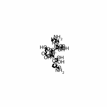 NC(=O)c1ccc[n+]([C@@H]2O[C@H](COP(=O)([O-])OP(=O)(O)OC[C@H]3O[C@@H](n4cnc5c(N)ncnc54)[C@H](OP(=O)(O)O)[C@@H]3O)[C@@H](O)[C@H]2O)c1.O=C(O)CCC(=O)C(=O)O